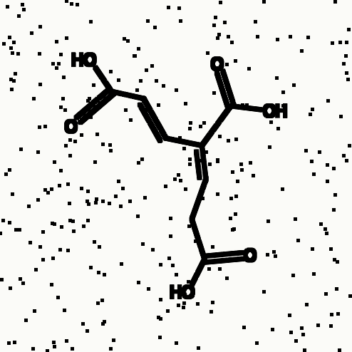 O=C(O)/C=C/C(=C\CC(=O)O)C(=O)O